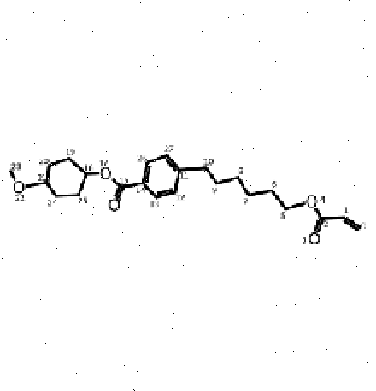 C=CC(=O)OCCCCCCc1ccc(C(=O)OC2CCC(OC)CC2)cc1